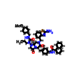 C=CCN(C(=O)NCc1ccc(OC)cc1)N1CC(=O)N2[C@@H](Cc3ccc(NC(=O)c4cccc5ccccc45)cc3)C(=O)N(Cc3cccc4sc(N)nc34)C[C@@H]21